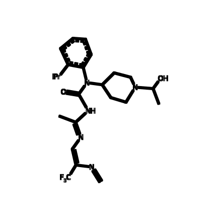 C=N/C(=C\N=C(/C)NC(=O)N(c1ccccc1C(C)C)C1CCN(C(C)O)CC1)C(F)(F)F